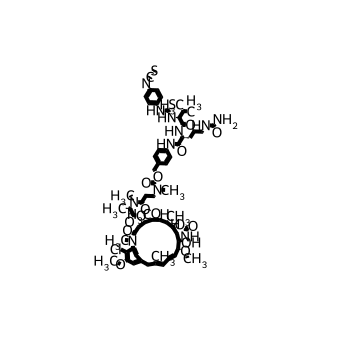 COc1cc2cc(c1Cl)N(C)C(=O)C[C@H](OC(=O)[C@H](C)N(C)C(=O)CCN(C)C(=O)OCc1ccc(NC(=O)[C@@H](CCCNC(N)=O)NC(=O)[C@H](NC(=S)Nc3ccc(N=C=S)cc3)C(C)C)cc1)[C@]1(C)O[C@H]1[C@H](C)[C@@H]1C[C@@](O)(NC(=O)O1)[C@H](OC)/C=C/C=C(\C)C2